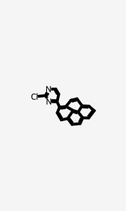 Clc1nccc(-c2ccc3ccc4cccc5ccc2c3c45)n1